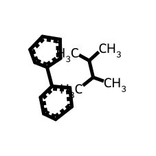 CC(C)C(C)C.c1ccc(-c2ccccc2)cc1